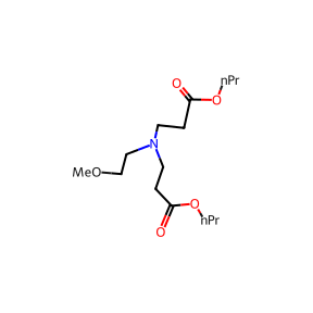 CCCOC(=O)CCN(CCOC)CCC(=O)OCCC